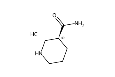 Cl.NC(=O)[C@H]1CCCNC1